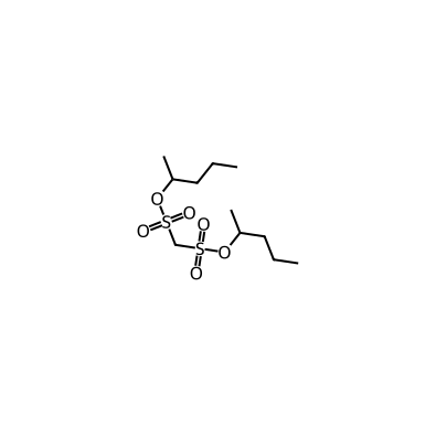 CCCC(C)OS(=O)(=O)CS(=O)(=O)OC(C)CCC